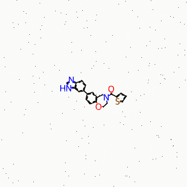 O=C(c1cccs1)N1CCOc2ccc(-c3ccc4nc[nH]c4c3)cc2C1